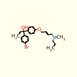 C=CCN(C)CC=CCOc1ccc(C(O)(C=C)c2ccc(Br)cc2)cc1